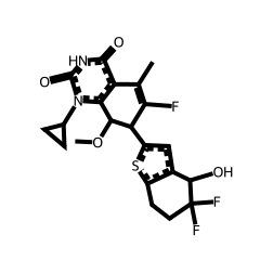 COC1c2c(c(=O)[nH]c(=O)n2C2CC2)C(C)=C(F)C1c1cc2c(s1)CCC(F)(F)C2O